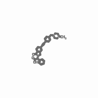 CN1CCN(Cc2ccc(C#Cc3ccc4c(c3)CN(C(C(=O)O)c3ccccc3)C4=O)cc2)CC1